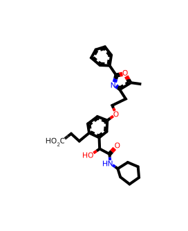 Cc1oc(-c2ccccc2)nc1CCOc1ccc(CCC(=O)O)c(C(O)C(=O)NC2CCCCC2)c1